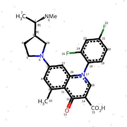 CN[C@H](C)[C@@H]1CCN(c2cc(C)c3c(=O)c(C(=O)O)cn(-c4ccc(F)cc4F)c3c2)C1